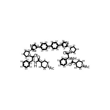 CC(=O)N1CCC(C(=O)N[C@@H](C(=O)N2CCC[C@H]2c2ncc(-c3ccc(-c4ccc(-c5cnc([C@@H]6CCCN6C(=O)[C@H](NC(=O)C6CCN(C(C)=O)CC6)c6ccccc6)s5)cc4)cc3)s2)c2ccccc2)CC1